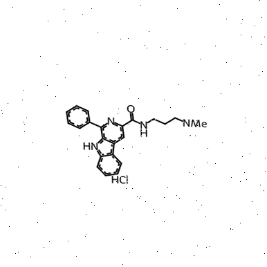 CNCCCNC(=O)c1cc2c([nH]c3ccccc32)c(-c2ccccc2)n1.Cl